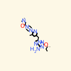 CC[C@@H](C)Oc1nc(N)c2ncc(Cc3cnc(N4CCN(C(=O)CN(C)C)CC4)c(C)c3)n2n1